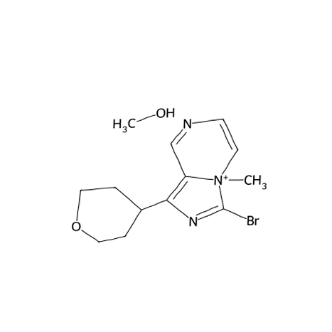 CO.C[N+]12C=CN=CC1=C(C1CCOCC1)N=C2Br